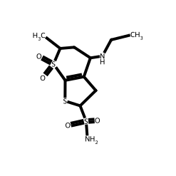 CCNC1CC(C)S(=O)(=O)C2=C1CC(S(N)(=O)=O)S2